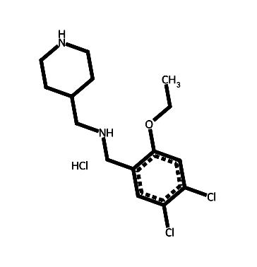 CCOc1cc(Cl)c(Cl)cc1CNCC1CCNCC1.Cl